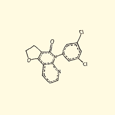 O=c1c2c(c3cccnc3n1-c1cc(Cl)cc(Cl)c1)OCC2